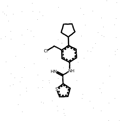 N=C(Nc1ccc(C2CCCC2)c(CCl)c1)c1cccs1